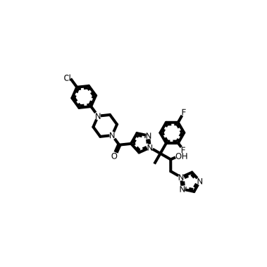 CC(c1ccc(F)cc1F)(C(O)Cn1cncn1)n1cc(C(=O)N2CCN(c3ccc(Cl)cc3)CC2)cn1